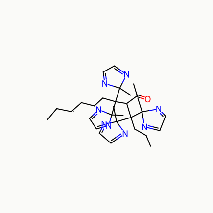 CC[CH]CCCC(C(C(C)=O)C(CCC)(C1(C)N=CC=N1)C1(C)N=CC=N1)(C1(C)N=CC=N1)C1(C)N=CC=N1